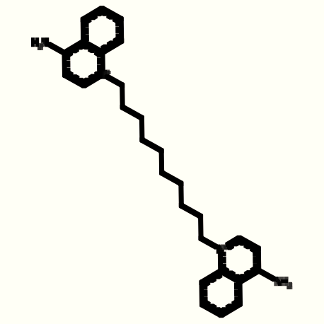 Nc1cc[n+](CCCCCCCCCC[n+]2ccc(N)c3ccccc32)c2ccccc12